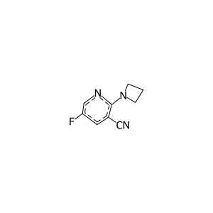 N#Cc1cc(F)cnc1N1CCC1